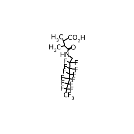 CC(C(=O)O)C(C)C(=O)NCC(F)(F)C(F)(F)C(F)(F)C(F)(F)C(F)(F)C(F)(F)C(F)(F)F